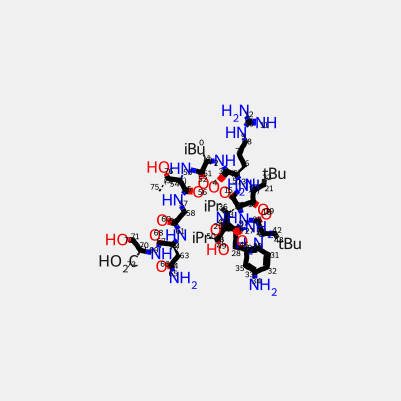 CCC(C)[C@H](NC(=O)[C@@H](CCCNC(=N)N)NC(=O)[C@](C(=O)[C@@H](N)CC(C)(C)C)(C(C(=O)[C@@H](N)Cc1cccc(N)c1)C(C)C)N(C(=O)[C@H](N)CC(C)(C)C)C(=O)[C@@H](N)[C@H](O)C(C)C)C(=O)N[C@H](C(=O)NCC(=O)N[C@@H](CC(N)=O)C(=O)N[C@@H](CO)C(=O)O)[C@H](C)O